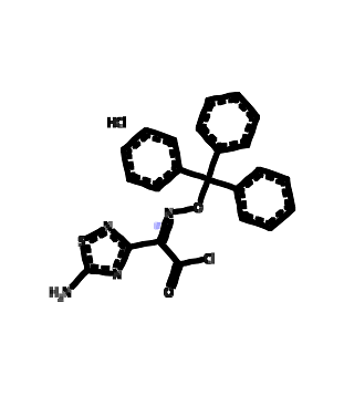 Cl.Nc1nc(/C(=N/OC(c2ccccc2)(c2ccccc2)c2ccccc2)C(=O)Cl)ns1